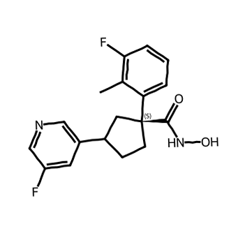 Cc1c(F)cccc1[C@]1(C(=O)NO)CCC(c2cncc(F)c2)C1